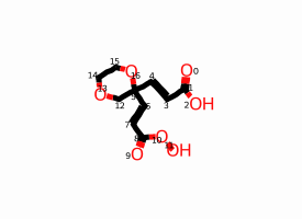 O=C(O)C=CC1(C=CC(=O)OO)COCCO1